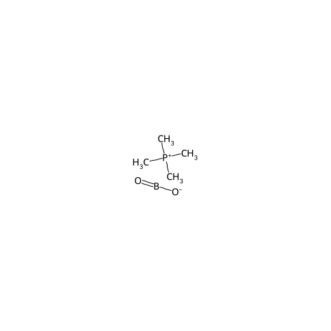 C[P+](C)(C)C.O=B[O-]